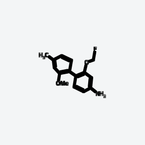 COc1cc(C)ccc1-c1ccc(N)cc1OCF